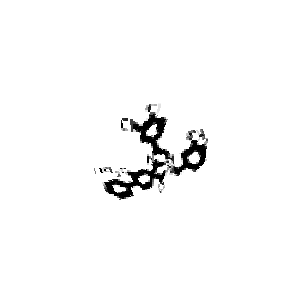 Cc1cccc(CNC(=O)C2(c3nc(-c4ccc(Cl)c(Cl)c4)cs3)C=CC(c3ccccc3)C(C(=O)O)=C2)c1